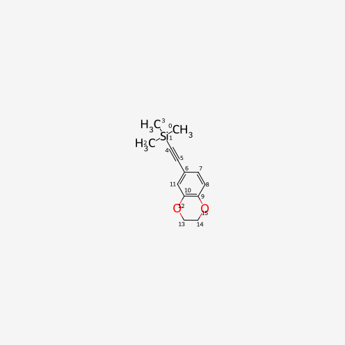 C[Si](C)(C)C#Cc1ccc2c(c1)OCCO2